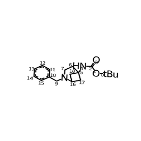 CC(C)(C)OC(=O)NC12CCN(Cc3ccccc3)C(C1)C2